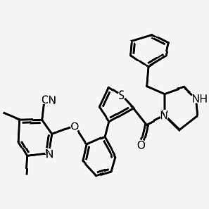 Cc1cc(C)c(C#N)c(Oc2ccccc2-c2ccsc2C(=O)N2CCNCC2Cc2ccccc2)n1